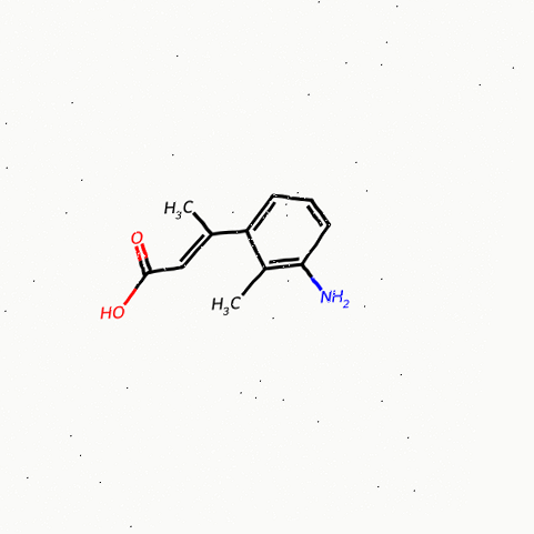 CC(=CC(=O)O)c1cccc(N)c1C